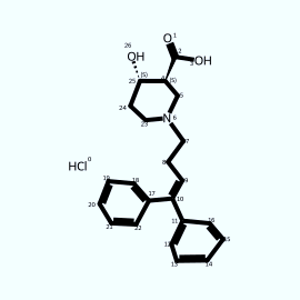 Cl.O=C(O)[C@H]1CN(CCC=C(c2ccccc2)c2ccccc2)CC[C@@H]1O